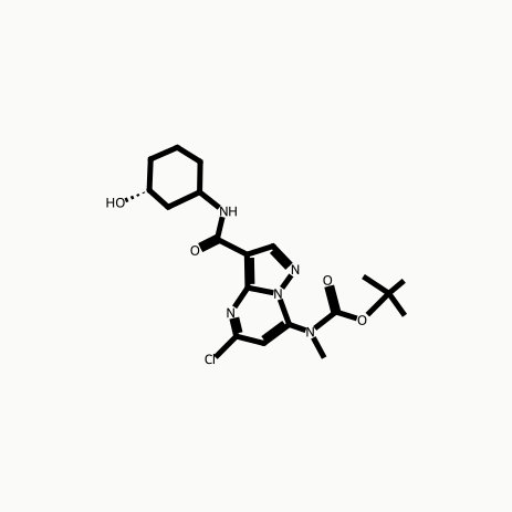 CN(C(=O)OC(C)(C)C)c1cc(Cl)nc2c(C(=O)NC3CCC[C@@H](O)C3)cnn12